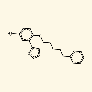 Nc1ccc(OCCCCCc2ccccc2)c(-c2ccco2)c1